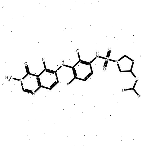 Cn1cnc2ccc(Nc3c(F)ccc(NS(=O)(=O)N4CCC(OC(F)F)C4)c3Cl)c(F)c2c1=O